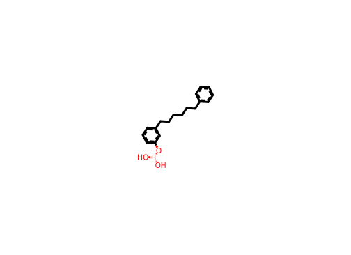 OB(O)Oc1cccc(CCCCCCc2ccccc2)c1